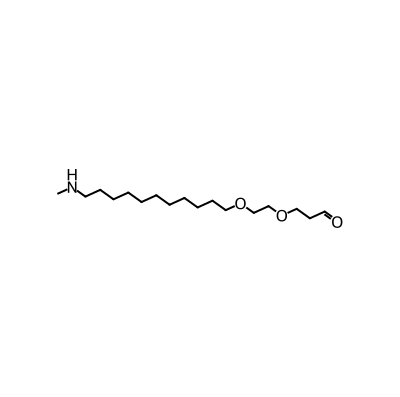 CNCCCCCCCCCCCOCCOCCC=O